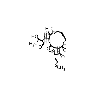 CSCC[C@@H](C=O)N[C@@H]1NC(=O)CCC=CCN(C)C(=O)[C@H](N[C@H](C=O)[C@@H](C)O)NC1=O